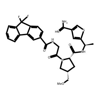 COC[C@H]1C[C@@H](C(=O)N[C@H](C)c2cc(C(=N)N)cs2)N(C(=O)CNC(=O)c2ccc3c(c2)-c2ccccc2C3(F)F)C1